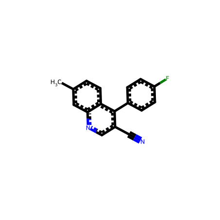 Cc1ccc2c(-c3ccc(F)cc3)c(C#N)cnc2c1